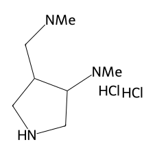 CNCC1CNCC1NC.Cl.Cl